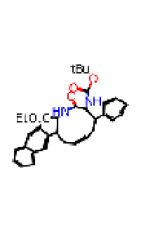 CCOC(=O)C1NC(=O)C(NC(=O)OC(C)(C)C)C(c2ccccc2)C/C=C\CC1c1ccc2ccccc2c1